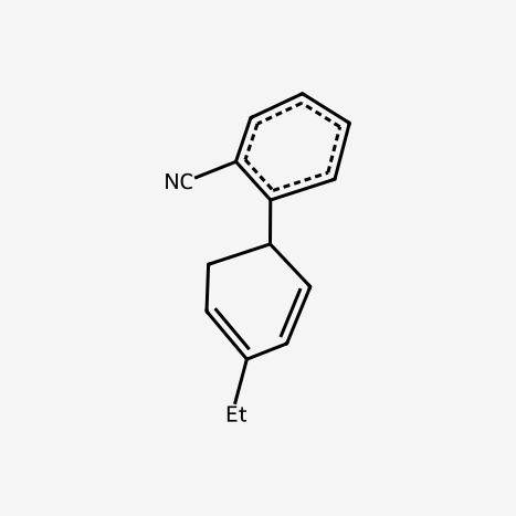 CCC1=CCC(c2ccccc2C#N)C=C1